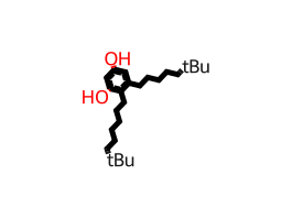 CC(C)(C)CCCCCCc1c(O)cc(O)cc1CCCCCC(C)(C)C